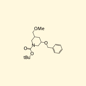 COCC1CC(OCc2ccccc2)CN(C(=O)OC(C)(C)C)C1